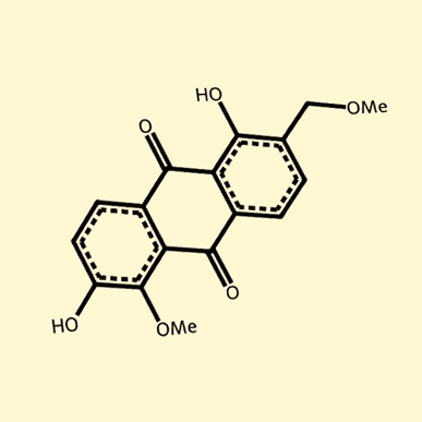 COCc1ccc2c(c1O)C(=O)c1ccc(O)c(OC)c1C2=O